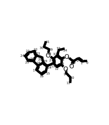 CC=CC(=O)Oc1c(OCCC)cc(-c2cccc3c2Cc2ccccc2-3)c(OCCC)c1CC